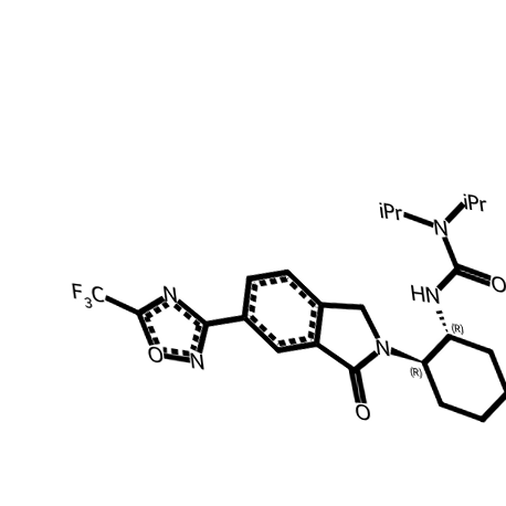 CC(C)N(C(=O)N[C@@H]1CCCC[C@H]1N1Cc2ccc(-c3noc(C(F)(F)F)n3)cc2C1=O)C(C)C